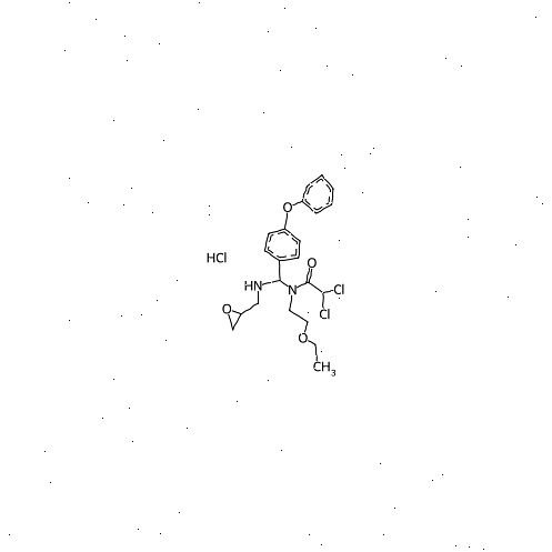 CCOCCN(C(=O)C(Cl)Cl)C(NCC1CO1)c1ccc(Oc2ccccc2)cc1.Cl